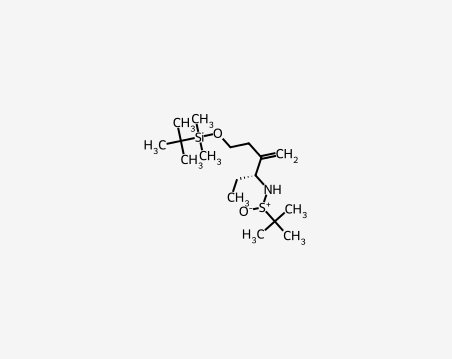 C=C(CCO[Si](C)(C)C(C)(C)C)[C@@H](CC)N[S+]([O-])C(C)(C)C